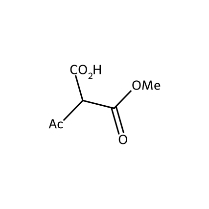 COC(=O)C(C(C)=O)C(=O)O